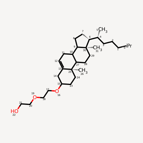 CC(C)CCC[C@@H](C)[C@H]1CCC2C3CC=C4CC(OCCOCCO)CC[C@]4(C)C3CC[C@@]21C